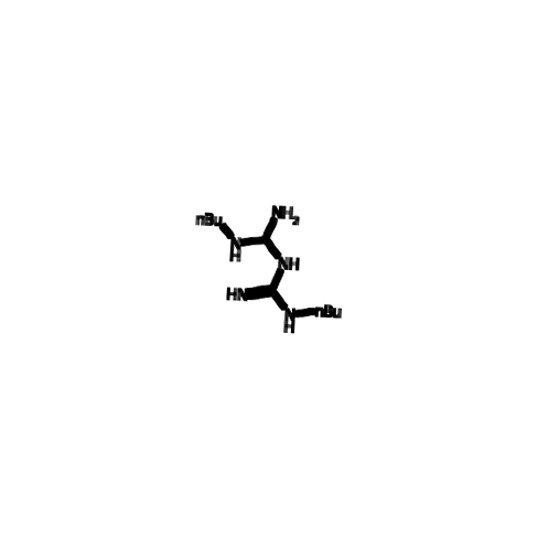 CCCCNC(=N)NC(N)NCCCC